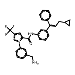 NCc1cccc(-n2nc(C(F)(F)F)cc2C(=O)Nc2cccc(C(=CCC3CC3)c3ccccc3)c2)c1